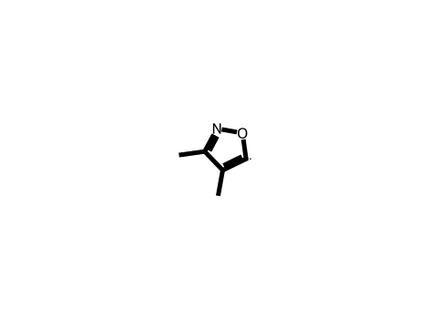 Cc1[c]onc1C